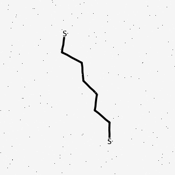 [S]CCCCCC[S]